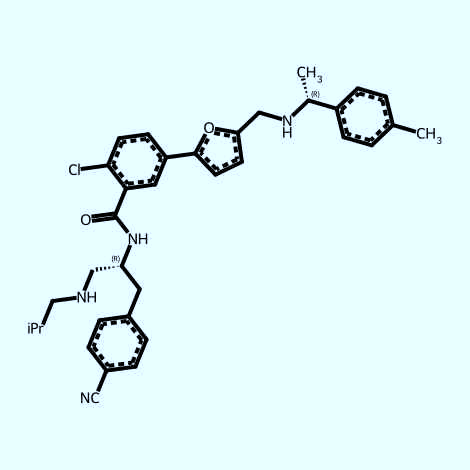 Cc1ccc([C@@H](C)NCc2ccc(-c3ccc(Cl)c(C(=O)N[C@@H](CNCC(C)C)Cc4ccc(C#N)cc4)c3)o2)cc1